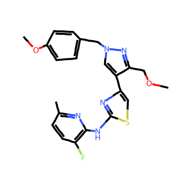 COCc1nn(Cc2ccc(OC)cc2)cc1-c1csc(Nc2nc(C)ccc2F)n1